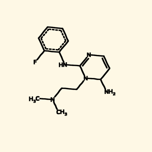 CN(C)CCN1C(Nc2ccccc2F)=NC=CC1N